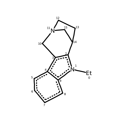 CCn1c2c(c3ccccc31)CN1CCC2C1